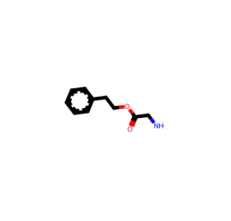 [NH]CC(=O)OCCc1ccccc1